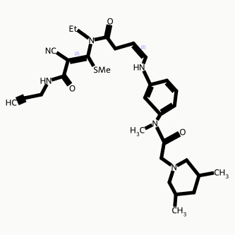 C#CCNC(=O)/C(C#N)=C(\SC)N(CC)C(=O)C/C=C\Nc1cccc(N(C)C(=O)CN2CC(C)CC(C)C2)c1